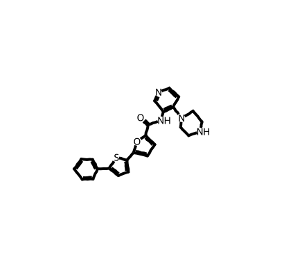 O=C(Nc1cnccc1N1CCNCC1)c1ccc(-c2ccc(-c3ccccc3)s2)o1